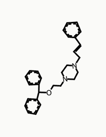 C(=Cc1ccccc1)CN1CCN(CCOC(c2ccccc2)c2ccccc2)CC1